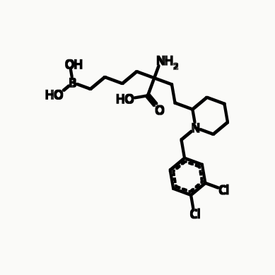 NC(CCCCB(O)O)(CCC1CCCCN1Cc1ccc(Cl)c(Cl)c1)C(=O)O